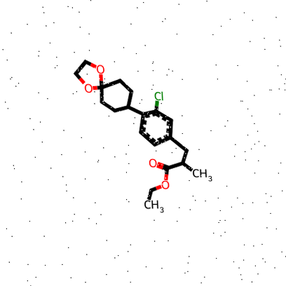 CCOC(=O)C(C)Cc1ccc(C2CCC3(CC2)OCCO3)c(Cl)c1